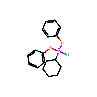 Cl[PH](Oc1ccccc1)(Oc1ccccc1)C1CCCCC1